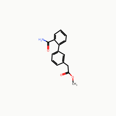 COC(=O)Cc1cccc(-c2ccccc2C(N)=O)c1